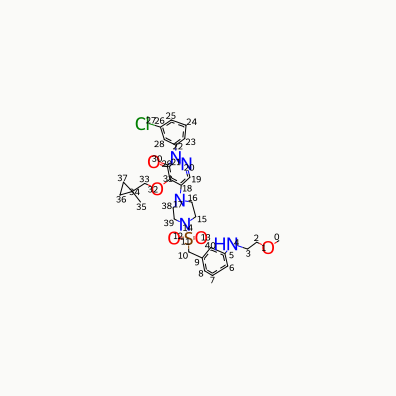 COCCNc1cccc(CS(=O)(=O)N2CCN(c3cnn(-c4cccc(Cl)c4)c(=O)c3OCC3(C)CC3)CC2)c1